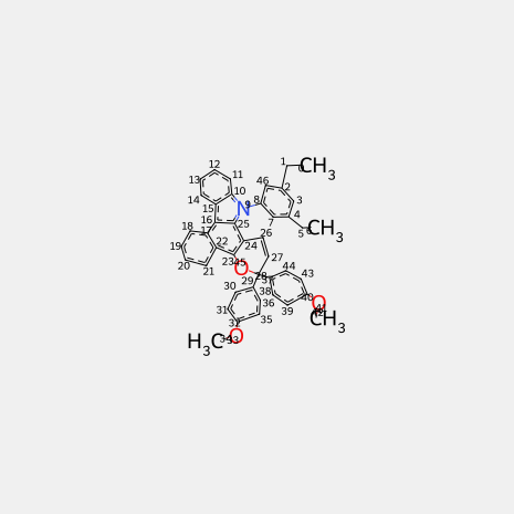 CCc1cc(CC)cc(-n2c3ccccc3c3c4ccccc4c4c(c32)C=CC(c2ccc(OC)cc2)(c2ccc(OC)cc2)O4)c1